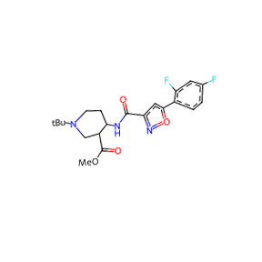 COC(=O)C1CN(C(C)(C)C)CCC1NC(=O)c1cc(-c2ccc(F)cc2F)on1